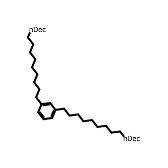 CCCCCCCCCCCCCCCCCCCc1[c]c(CCCCCCCCCCCCCCCCCCC)ccc1